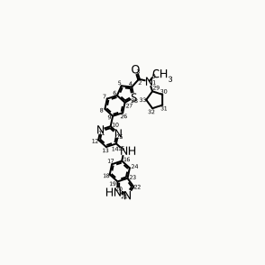 CN(C(=O)c1cc2ccc(-c3nccc(Nc4ccc5[nH]ncc5c4)n3)cc2s1)C1CCCC1